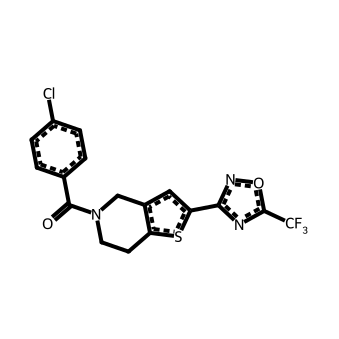 O=C(c1ccc(Cl)cc1)N1CCc2sc(-c3noc(C(F)(F)F)n3)cc2C1